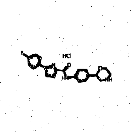 Cl.O=C(Nc1ccc(C2CNCCO2)cc1)c1ccn(-c2ccc(F)cc2)n1